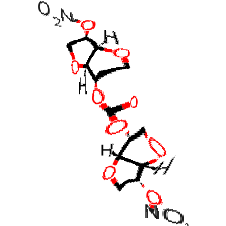 O=C(O[C@@H]1CO[C@H]2[C@@H]1OC[C@H]2O[N+](=O)[O-])O[C@@H]1CO[C@H]2[C@@H]1OC[C@H]2O[N+](=O)[O-]